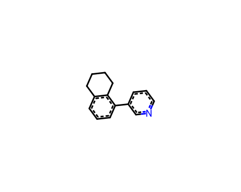 c1cncc(-c2cccc3c2CCCC3)c1